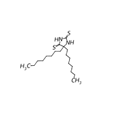 CCCCCCCCC1(CCCCCCCC)NC(=S)NC1=S